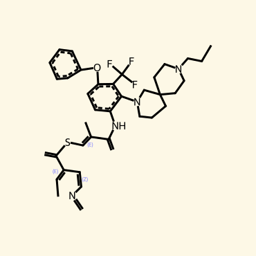 C=N/C=C\C(=C/C)C(=C)S/C=C(\C)C(=C)Nc1ccc(Oc2ccccc2)c(C(F)(F)F)c1N1CCCC2(CCN(CCC)CC2)C1